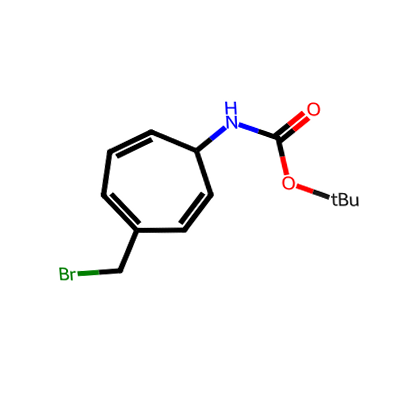 CC(C)(C)OC(=O)NC1C=CC=C(CBr)C=C1